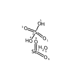 O.O=S(=O)(O)O.O=[Se]=O